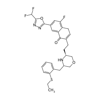 CCSc1ccccc1CC1COC[C@H](CCC2=CCc3c(F)cc(-c4nnc(C(F)F)o4)cc3C2=O)N1